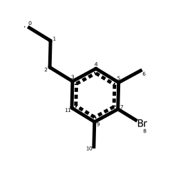 [CH2]CCc1cc(C)c(Br)c(C)c1